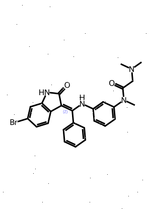 CN(C)CC(=O)N(C)c1cccc(N/C(=C2\C(=O)Nc3cc(Br)ccc32)c2ccccc2)c1